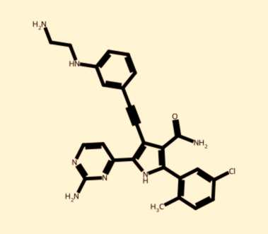 Cc1ccc(Cl)cc1-c1[nH]c(-c2ccnc(N)n2)c(C#Cc2cccc(NCCN)c2)c1C(N)=O